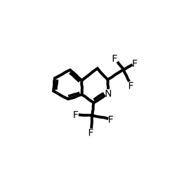 FC(F)(F)C1=NC(C(F)(F)F)Cc2ccccc21